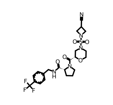 N#CC1CN(S(=O)(=O)N2CCO[C@H](C(=O)N3CCC[C@@H]3C(=O)NCc3ccc(C(F)(F)F)cc3)C2)C1